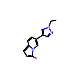 CCn1cc(-c2ccc3ccc(I)n3c2)cn1